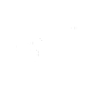 C=C(Nc1nc2c(s1)-c1cccc(O)c1CCC2)c1c(F)cccc1F